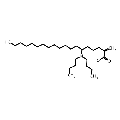 C=C(CCCC(CCCCCCCCCCCCC)N(CCCC)CCCC)C(=O)O